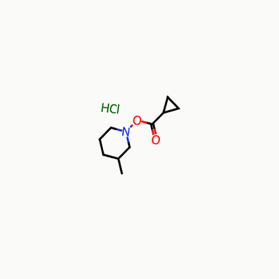 CC1CCCN(OC(=O)C2CC2)C1.Cl